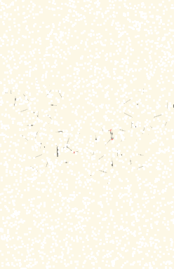 Cc1cc2c3c(c1)N(c1ccc(C(C)(C)C)cc1)c1c(sc4ccc(C(C)(C)C)cc14)B3c1cc3c(cc1N2c1cc2c(cc1-c1cccc(CC4(C)CCC(C)(C)c5cc6c(cc54)B4c5sc7ccc(C(C)(C)C)cc7c5N(c5ccc(C(C)(C)C)cc5)c5cc(C)cc(c54)N6c4cc5c(cc4-c4ccc(C(C)(C)C)cc4)C(C)(C)CCC5(C)C)c1)C(C)(C)CCC2(C)C)C(C)(C)CCC3(C)C